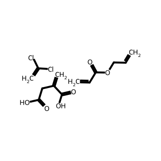 C=C(CC(=O)O)C(=O)O.C=C(Cl)Cl.C=CCOC(=O)C=C